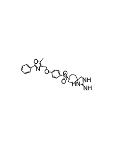 Cc1oc(-c2ccccc2)nc1COc1ccc(S(=O)(=O)N2CCC3(CC2)CNC(=N)N3)cc1